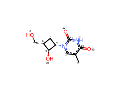 Cc1cn([C@H]2C[C@@H](CO)[C@@H]2O)c(=O)[nH]c1=O